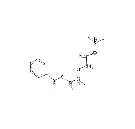 C[SiH](C)O[SiH2][SiH2]O[SiH](C)[SiH2]O[SiH](C)c1ccccc1